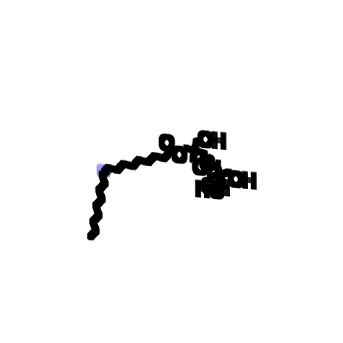 CCCCCCCC/C=C\CCCCCCCC(=O)OCC(CO)(CO)COCC(CO)(CO)CO